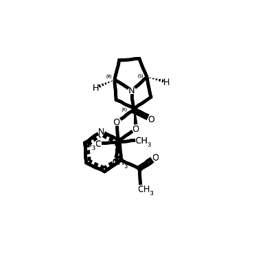 CC(=O)c1cccnc1O[C@H]1C[C@H]2CC[C@@H](C1)N2C(=O)OC(C)(C)C